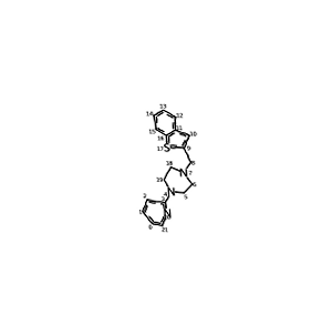 c1ccc(N2CCN(Cc3cc4ccccc4s3)CC2)nc1